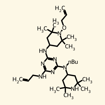 C=CCNc1nc(NC2CC(C)(C)N(OCC=C)C(C)(C)C2)nc(N(CCCC)C2CC(C)(C)NC(C)(C)C2)n1